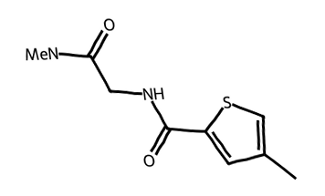 CNC(=O)CNC(=O)c1cc(C)cs1